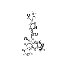 CC1(C)OCC(c2ccc(C(=O)CCC(=O)C(CC3CCOCC3)c3ccc(S(C)(=O)=O)c(Cl)c3)nc2)O1